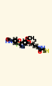 COc1cc2c(Oc3ccc(NC=O)cc3F)ccnc2cc1OCCCCCNC(=O)CS